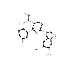 CCC(O)c1ccc(-n2cnc3cc(OC)c(OC)cc32)nc1-c1cccc(Cl)c1